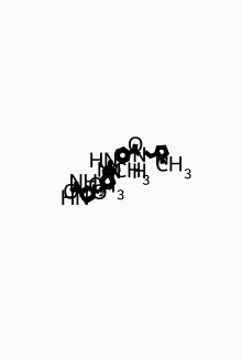 CN1CCCC1CCNC(=O)c1ccc(Nc2nc3cc(OC4(C)C=CNC(C(N)=O)=C4)ccc3n2C)cc1